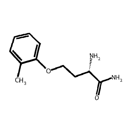 Cc1ccccc1OCC[C@H](N)C(N)=O